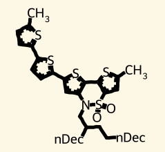 CCCCCCCCCCCCC(CCCCCCCCCC)CN1c2cc(-c3ccc(-c4ccc(C)s4)s3)sc2-c2sc(C)cc2S1(=O)=O